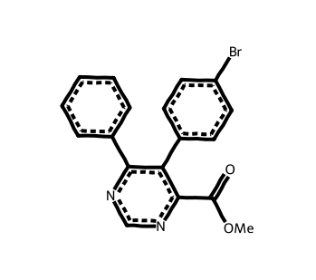 COC(=O)c1ncnc(-c2ccccc2)c1-c1ccc(Br)cc1